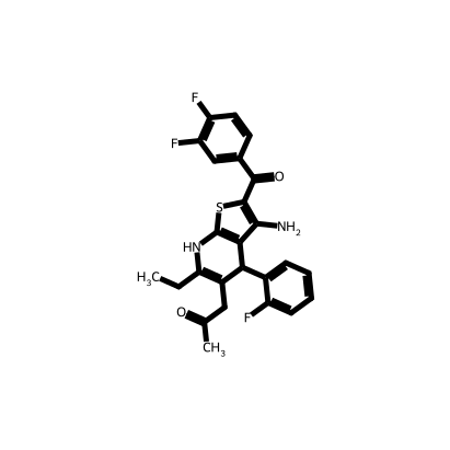 CCC1=C(CC(C)=O)C(c2ccccc2F)c2c(sc(C(=O)c3ccc(F)c(F)c3)c2N)N1